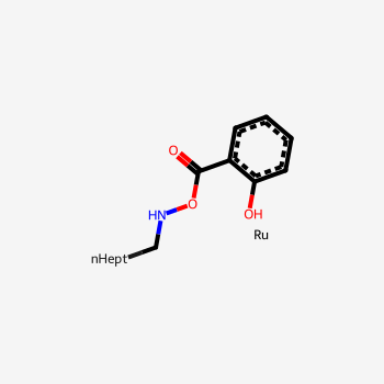 CCCCCCCCNOC(=O)c1ccccc1O.[Ru]